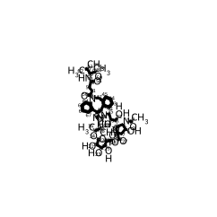 CC(=O)NC1C(O)CC(OCC2OC(OC(C)C(C)C)C(O)C(O)C2O)(C(=O)O)O[C@@H]1C(O)C(O)Cn1nnc2c1-c1ccccc1CN(C(=O)CCC(=O)N[C@H](C(C)=O)C(C)C)c1ccccc1-2